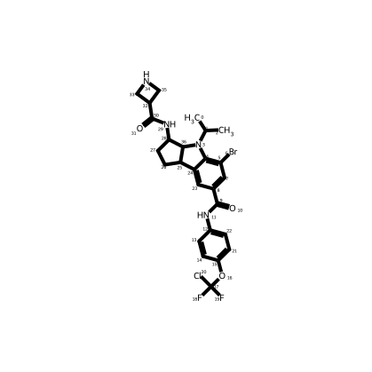 CC(C)N1c2c(Br)cc(C(=O)Nc3ccc(OC(F)(F)Cl)cc3)cc2C2CCC(NC(=O)C3CNC3)C21